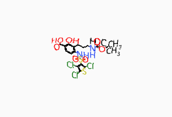 CC(C)(C)OC(=O)NCCCc1c(NS(=O)(=O)c2c(Cl)sc(Cl)c2Cl)ccc(C(=O)O)c1O